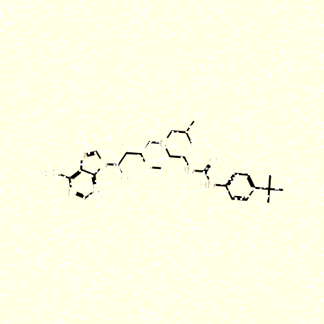 CO[C@H](CN(CCNC(=O)Nc1ccc(C(C)(C)C)cc1)CC(C)C)[C@@H](O)[C@@H](O)n1cnc2c(N)ncnc21